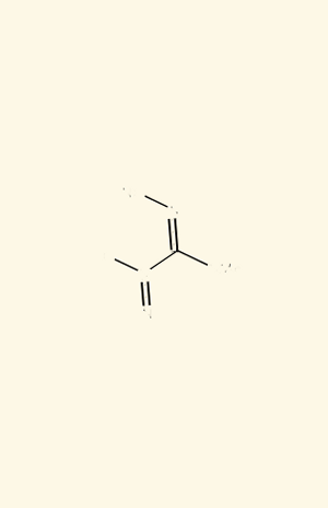 CSC(=NC#N)S(C)=N